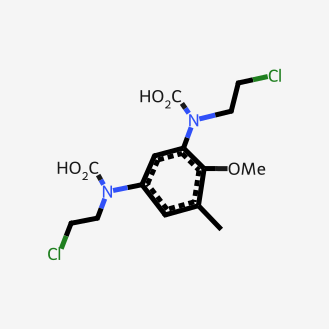 COc1c(C)cc(N(CCCl)C(=O)O)cc1N(CCCl)C(=O)O